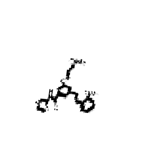 COCCCOc1cc(CCc2ccccc2OC)cc(C(=O)Nc2cnccn2)c1